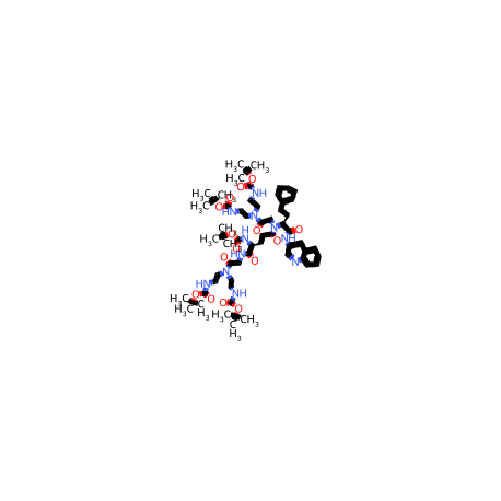 CC(C)(C)OC(=O)NCCN(CCNC(=O)OC(C)(C)C)C(=O)CNC(=O)[C@H](CCC(=O)N(CC(=O)N(CCNC(=O)OC(C)(C)C)CCNC(=O)OC(C)(C)C)[C@@H](CCc1ccccc1)C(=O)Nc1cnc2ccccc2c1)NC(=O)OC(C)(C)C